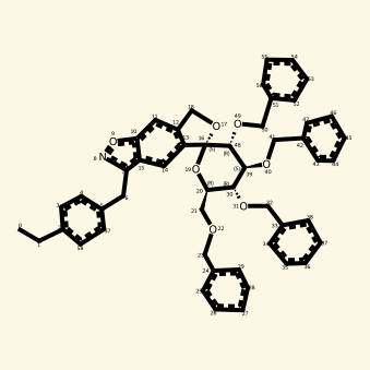 CCc1ccc(Cc2noc3cc4c(cc23)[C@]2(OC4)O[C@H](COCc3ccccc3)[C@@H](OCc3ccccc3)[C@H](OCc3ccccc3)[C@H]2OCc2ccccc2)cc1